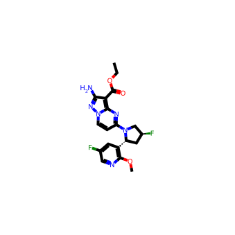 CCOC(=O)c1c(N)nn2ccc(N3C[C@@H](F)C[C@@H]3c3cc(F)cnc3OC)nc12